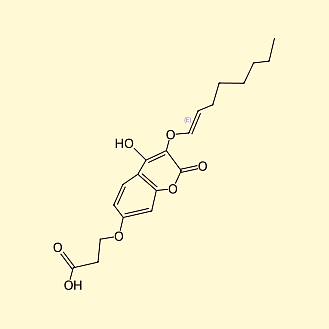 CCCCCC/C=C/Oc1c(O)c2ccc(OCCC(=O)O)cc2oc1=O